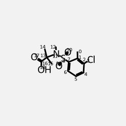 Cc1c(Cl)cccc1S(=O)(=O)N(C)C(C)(C)C(=O)O